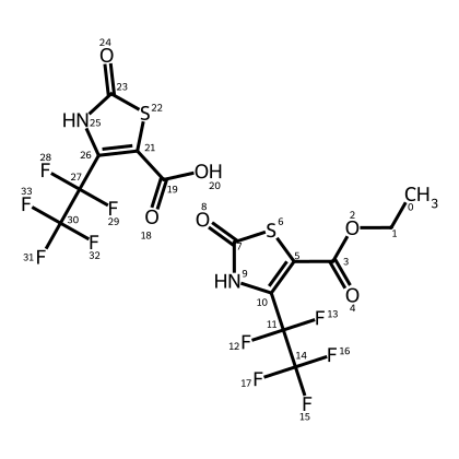 CCOC(=O)c1sc(=O)[nH]c1C(F)(F)C(F)(F)F.O=C(O)c1sc(=O)[nH]c1C(F)(F)C(F)(F)F